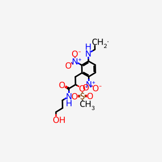 [CH2]CNc1ccc([N+](=O)[O-])c(CC(OS(C)(=O)=O)C(=O)NCCCO)c1[N+](=O)[O-]